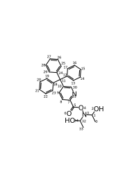 CC(O)N(OC(=O)c1ccc(C(c2ccccc2)(c2ccccc2)c2ccccc2)cn1)C(C)O